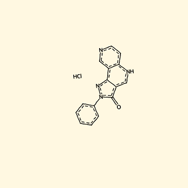 Cl.O=c1c2c[nH]c3ccncc3c-2nn1-c1ccccc1